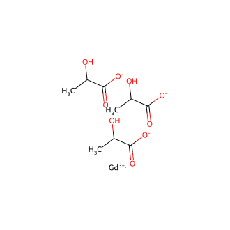 CC(O)C(=O)[O-].CC(O)C(=O)[O-].CC(O)C(=O)[O-].[Gd+3]